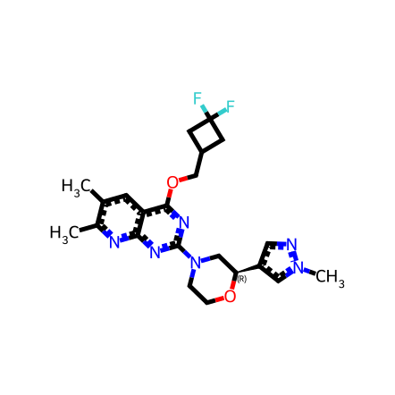 Cc1cc2c(OCC3CC(F)(F)C3)nc(N3CCO[C@H](c4cnn(C)c4)C3)nc2nc1C